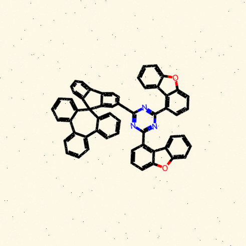 c1ccc2c(c1)-c1ccccc1C1(c3ccccc3-2)c2ccccc2-c2ccc(-c3nc(-c4cccc5oc6ccccc6c45)nc(-c4cccc5oc6ccccc6c45)n3)cc21